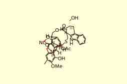 COc1c(C)cc2c(c1O)[C@H]1[C@@H]3[C@@H]4SC[C@]5(N[C@H](CO)Cc6c5[nH]c5ccccc65)C(=O)OC[C@@H](c5c6c(c(C)c(OC(C)=O)c54)OCO6)N3C(C#N)(C2)CN1C